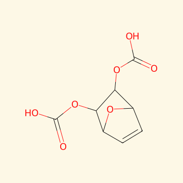 O=C(O)OC1C2C=CC(O2)C1OC(=O)O